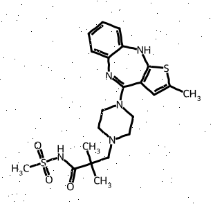 Cc1cc2c(s1)Nc1ccccc1N=C2N1CCN(CC(C)(C)C(=O)NS(C)(=O)=O)CC1